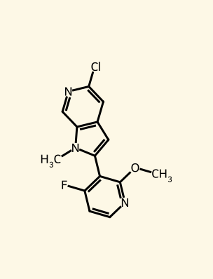 COc1nccc(F)c1-c1cc2cc(Cl)ncc2n1C